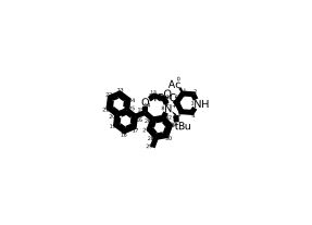 CC(=O)[C@H]1CNCC[C@]1(C(=O)O)[N@+]1(CC(C)(C)C)C(=O)COC(c2cccc3ccccc23)c2cc(C)ccc21